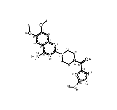 COc1cc2nc(N3CCN(C(=O)c4nnc(SC)o4)CC3)nc(N)c2cc1OC